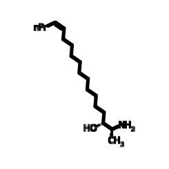 CCC/C=C\CCCCCCCCCC[C@@H](O)[C@H](C)N